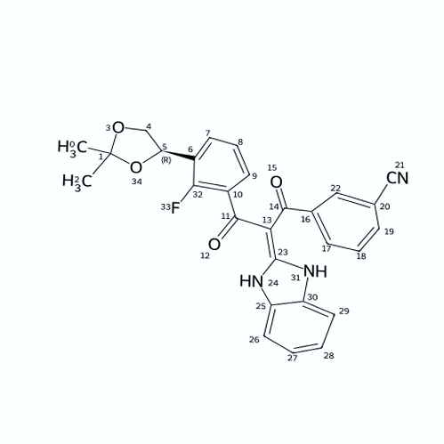 CC1(C)OC[C@@H](c2cccc(C(=O)C(C(=O)c3cccc(C#N)c3)=C3Nc4ccccc4N3)c2F)O1